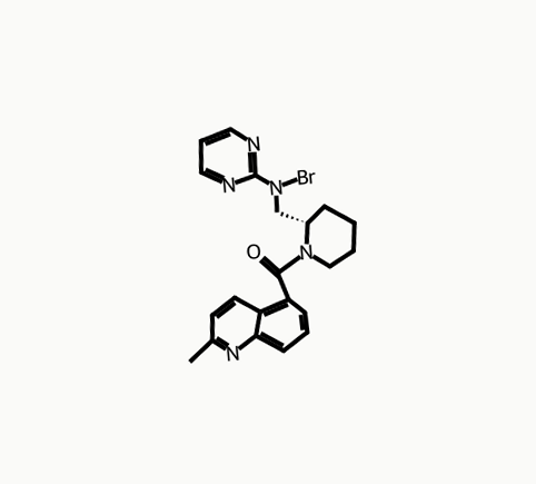 Cc1ccc2c(C(=O)N3CCCC[C@H]3CN(Br)c3ncccn3)cccc2n1